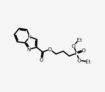 CCOP(=O)(CCCOC(=O)c1cn2ccccc2n1)OCC